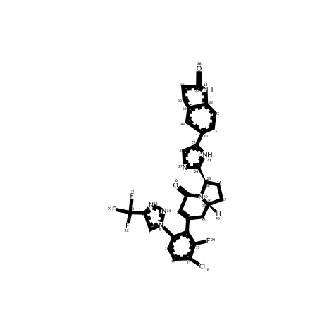 O=C1C=C(c2c(-n3cc(C(F)(F)F)nn3)ccc(Cl)c2F)C[C@H]2CC[C@H](c3ncc(-c4ccc5[nH]c(=O)ccc5c4)[nH]3)N12